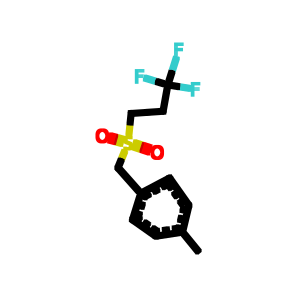 Cc1ccc(CS(=O)(=O)CCC(F)(F)F)cc1